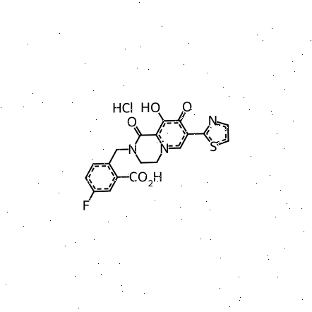 Cl.O=C(O)c1cc(F)ccc1CN1CCn2cc(-c3nccs3)c(=O)c(O)c2C1=O